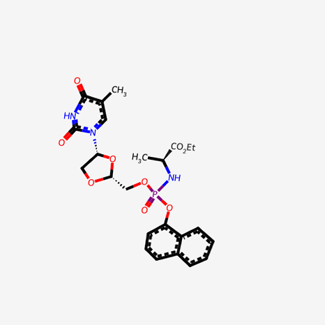 CCOC(=O)[C@H](C)NP(=O)(OC[C@@H]1OC[C@H](n2cc(C)c(=O)[nH]c2=O)O1)Oc1cccc2ccccc12